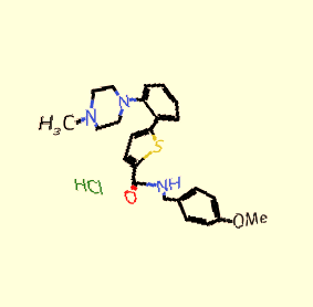 COc1ccc(CNC(=O)c2ccc(-c3ccccc3N3CCN(C)CC3)s2)cc1.Cl